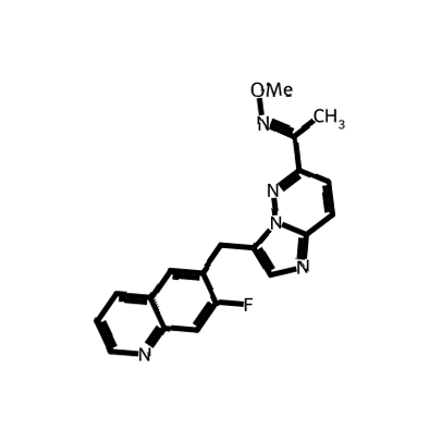 CON=C(C)c1ccc2ncc(Cc3cc4cccnc4cc3F)n2n1